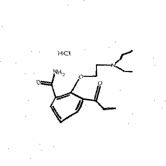 CCC(=O)c1cccc(C(N)=O)c1OCCN(CC)CC.Cl